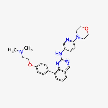 CN(C)CCOc1ccc(-c2cccc3cnc(Nc4ccc(N5CCOCC5)nc4)nc23)cc1